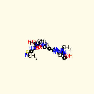 CCNc1nnc(-c2ccccc2O)cc1N1CCN(c2ncc(-c3ccc([C@H]4CC[C@@H](C(=O)N[C@H](C(=O)N5C[C@H](O)C[C@H]5C(=O)NCc5ccc(-c6scnc6C)cc5)C(C)(C)C)CC4)cc3)cn2)C[C@@H]1C